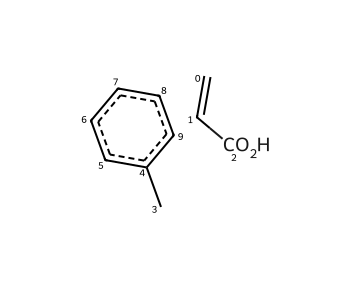 C=CC(=O)O.Cc1ccccc1